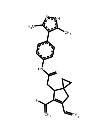 C=CC1=C(C(=C)F)C(CC(=O)Nc2ccc(-c3c(C)n[nH]c3C)cc2)C2(CC2)C1